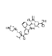 Cc1cc2c(cc1C(=O)O)NC(=O)C2=C(Nc1ccc(C(=O)N(OCCN2CCNCC2)C(C)C)cc1)c1ccccc1